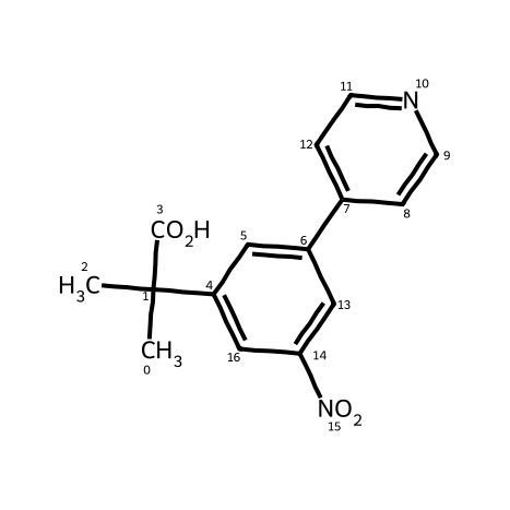 CC(C)(C(=O)O)c1cc(-c2ccncc2)cc([N+](=O)[O-])c1